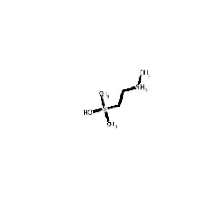 C[SiH2]CC[Si](C)(C)O